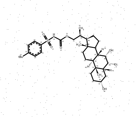 CC[C@H]1[C@@H](O)[C@H]2C3CC[C@H]([C@H](C)COC(=O)NS(=O)(=O)c4ccc(C(C)(C)C)cc4)[C@@]3(C)CC[C@@H]2[C@@]2(C)CC[C@@H](O)C[C@@H]12